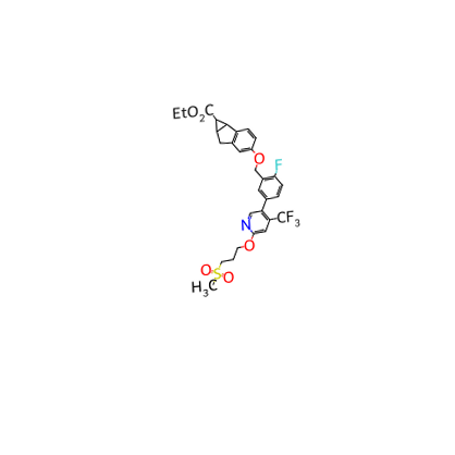 CCOC(=O)C1C2Cc3cc(OCc4cc(-c5cnc(OCCCS(C)(=O)=O)cc5C(F)(F)F)ccc4F)ccc3C21